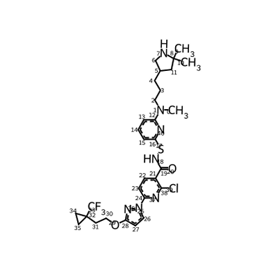 CN(CCCC1CNC(C)(C)C1)c1cccc(SNC(=O)c2ccc(-n3ccc(OCCC4(C(F)(F)F)CC4)n3)nc2Cl)n1